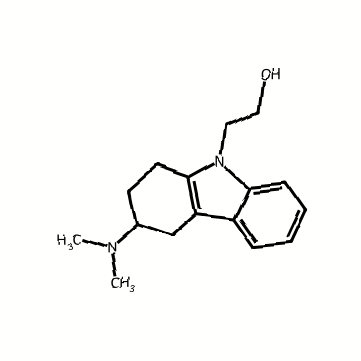 CN(C)C1CCc2c(c3ccccc3n2CCO)C1